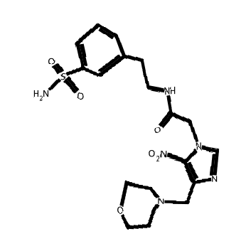 NS(=O)(=O)c1cccc(CCNC(=O)Cn2cnc(CN3CCOCC3)c2[N+](=O)[O-])c1